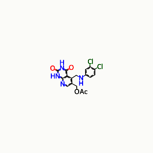 CC(=O)OCc1cnc2[nH]c(=O)[nH]c(=O)c2c1CNc1ccc(Cl)c(Cl)c1